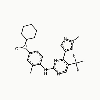 Cc1cc([S+]([O-])C2CCCCC2)ccc1Nc1ncc(C(F)(F)F)c(-c2cnn(C)c2)n1